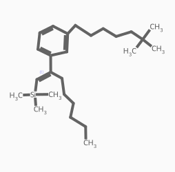 CCCCCC/C(=C\[Si](C)(C)C)c1cccc(CCCCCC(C)(C)C)c1